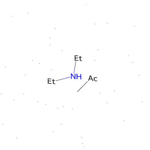 CC(C)=O.CCNCC